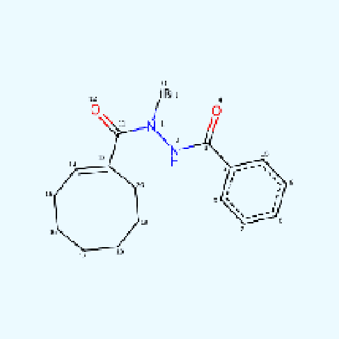 CC(C)(C)N(NC(=O)c1ccccc1)C(=O)/C1=C/CCCCCC1